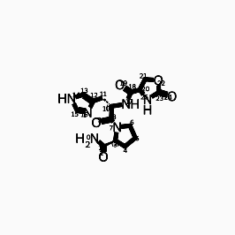 NC(=O)[C@@H]1CCCN1C(=O)[C@H](Cc1c[nH]cn1)NC(=O)C1COC(=O)N1